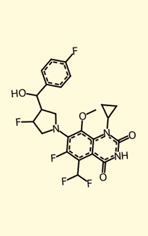 COc1c(N2CC(F)C(C(O)c3ccc(F)cc3)C2)c(F)c(C(F)F)c2c(=O)[nH]c(=O)n(C3CC3)c12